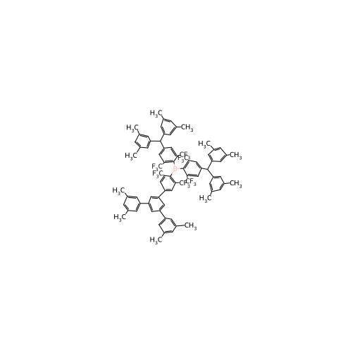 Cc1cc(C)cc(-c2cc(-c3cc(C)cc(C)c3)cc(-c3cc(C(F)(F)F)c(B(c4c(C(F)(F)F)cc(C(c5cc(C)cc(C)c5)c5cc(C)cc(C)c5)cc4C(F)(F)F)c4c(C(F)(F)F)cc(C(c5cc(C)cc(C)c5)c5cc(C)cc(C)c5)cc4C(F)(F)F)c(C(F)(F)F)c3)c2)c1